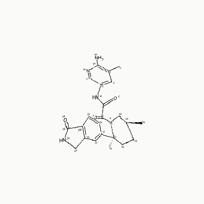 Cc1cc(NC(=O)C(=O)N2C[C@@H](C)CC[C@@]2(C)c2ccc3c(c2)CNC3=O)cnc1N